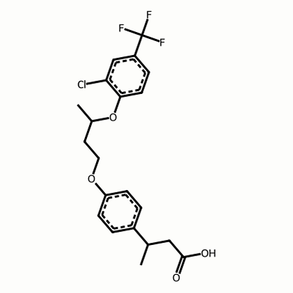 CC(CCOc1ccc(C(C)CC(=O)O)cc1)Oc1ccc(C(F)(F)F)cc1Cl